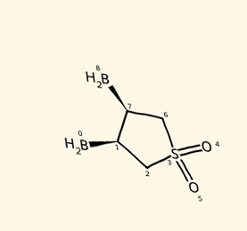 B[C@@H]1CS(=O)(=O)C[C@@H]1B